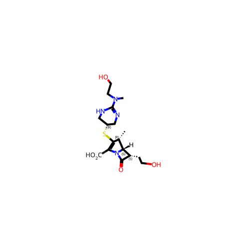 C[C@H]1C(S[C@H]2CN=C(N(C)CCO)NC2)=C(C(=O)O)N2C(=O)[C@@H](CCO)[C@@H]12